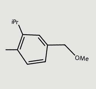 COCc1ccc(C)c(C(C)C)c1